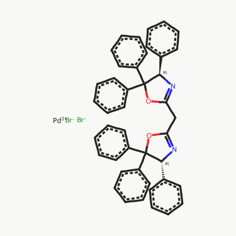 [Br-].[Br-].[Pd+2].c1ccc([C@H]2N=C(CC3=N[C@H](c4ccccc4)C(c4ccccc4)(c4ccccc4)O3)OC2(c2ccccc2)c2ccccc2)cc1